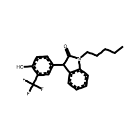 CCCCCN1C(=O)C(c2ccc(O)c(C(F)(F)F)c2)c2ccccc21